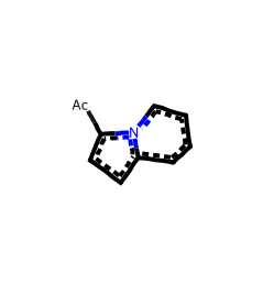 CC(=O)c1ccc2ccccn12